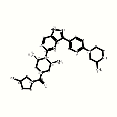 CC1CN(c2ccc(-c3n[nH]c4cnc(N5[C@H](C)CN(C(=O)N6CCC(F)C6)C[C@@H]5C)nc34)cn2)CCN1